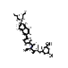 C=C(NCC1CC(O)CC(O)O1)/C(C#N)=C(\C)c1ccc(-c2ccc3cc(N(CCC)CCC)ccc3c2)s1